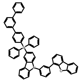 c1ccc(-c2cccc(-c3ccc([Si](c4ccccc4)(c4ccccc4)c4ccc5c(c4)c4ccccc4n5-c4cccc(-c5cccc6c5oc5ccccc56)c4)cc3)c2)cc1